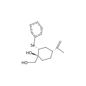 C=C(C)[C@@H]1CC[C@](O)(CO)[C@H]([Se]c2ccccc2)C1